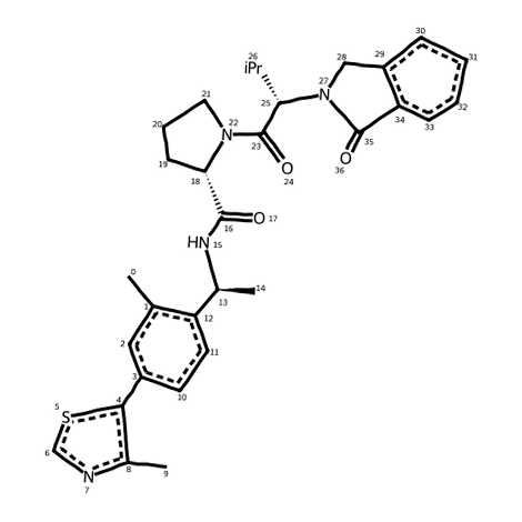 Cc1cc(-c2scnc2C)ccc1[C@H](C)NC(=O)[C@@H]1CCCN1C(=O)[C@H](C(C)C)N1Cc2ccccc2C1=O